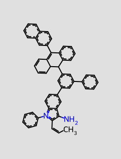 C/C=C\c1c(N)c2cc(-c3cc(-c4ccccc4)cc(C4c5ccccc5C(c5ccc6ccccc6c5)=C5C=CC=CC54)c3)ccc2n1-c1ccccc1